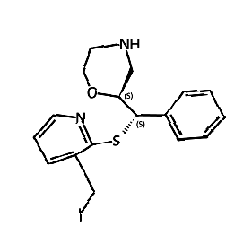 ICc1cccnc1S[C@@H](c1ccccc1)[C@@H]1CNCCO1